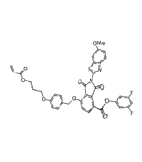 C=CC(=O)OCCCOc1ccc(COc2ccc(C(=O)Oc3cc(F)cc(F)c3)c3c2C(=O)N(c2nc4ccc(OC)cc4s2)C3=O)cc1